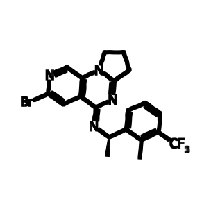 Cc1c([C@@H](C)/N=c2\nc3n(c4cnc(Br)cc24)CCC3)cccc1C(F)(F)F